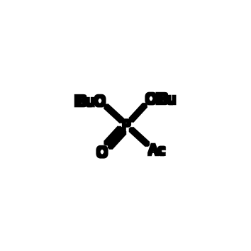 CC(=O)P(=O)(OCC(C)C)OCC(C)C